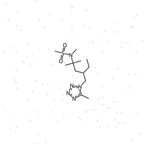 CCC(Cn1nnnc1C)CC(C)(C)N(C)S(C)(=O)=O